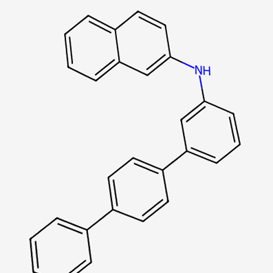 c1ccc(-c2ccc(-c3cccc(Nc4ccc5ccccc5c4)c3)cc2)cc1